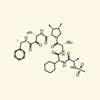 CCC[C@H](NC(=O)[C@@H]1[C@@H](C)[C@@H](C)CN1C(=O)[C@@H](NC(=O)[C@@H](NC(=O)[C@@H](C)NS(C)(=O)=O)C1CCCCC1)C(C)(C)C)C(=O)C(=O)P[C@@H](C)c1ccccc1